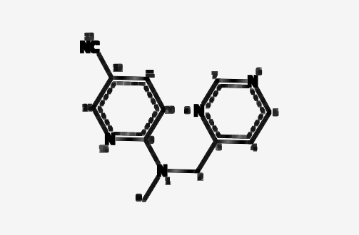 CN(Cc1ccncn1)c1ccc(C#N)cn1